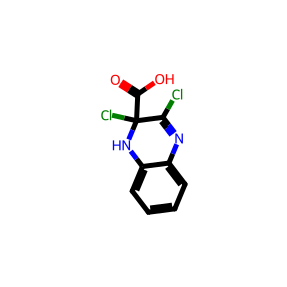 O=C(O)C1(Cl)Nc2ccccc2N=C1Cl